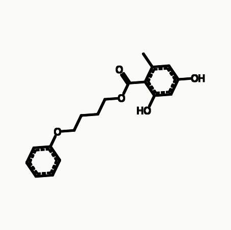 Cc1cc(O)cc(O)c1C(=O)OCCCCOc1ccccc1